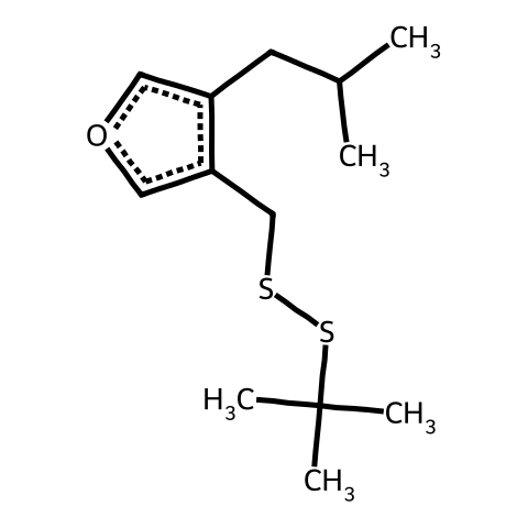 CC(C)Cc1cocc1CSSC(C)(C)C